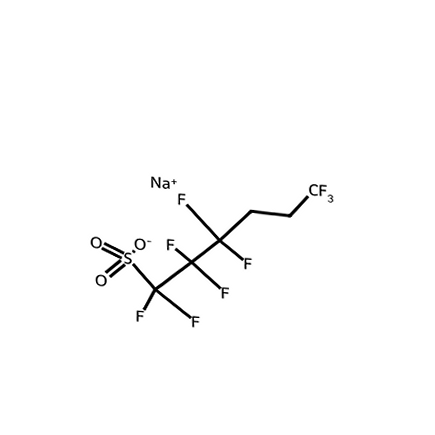 O=S(=O)([O-])C(F)(F)C(F)(F)C(F)(F)CCC(F)(F)F.[Na+]